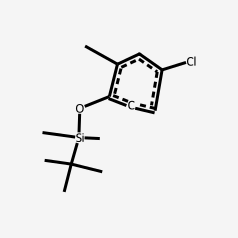 Cc1cc(Cl)ccc1O[Si](C)(C)C(C)(C)C